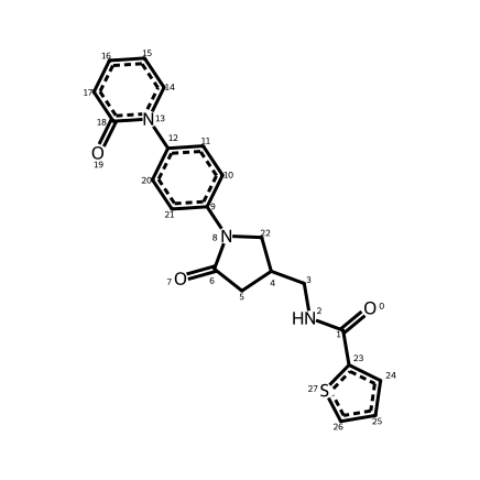 O=C(NCC1CC(=O)N(c2ccc(-n3ccccc3=O)cc2)C1)c1cccs1